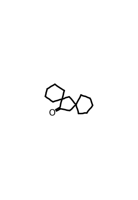 O=C1CC2(CCCCC2)CC12CCCCC2